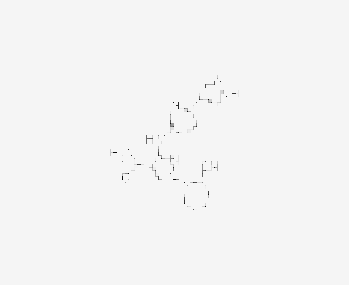 N#CC1CCCCC1n1cc(C(N)=O)c(Nc2ccc(-c3cn[nH]c3)nc2)n1